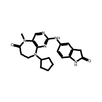 CN1C(=O)CCN(C2CCCC2)c2nc(Nc3ccc4c(c3)CC(=O)N4)ncc21